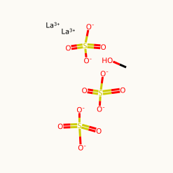 CO.O=S(=O)([O-])[O-].O=S(=O)([O-])[O-].O=S(=O)([O-])[O-].[La+3].[La+3]